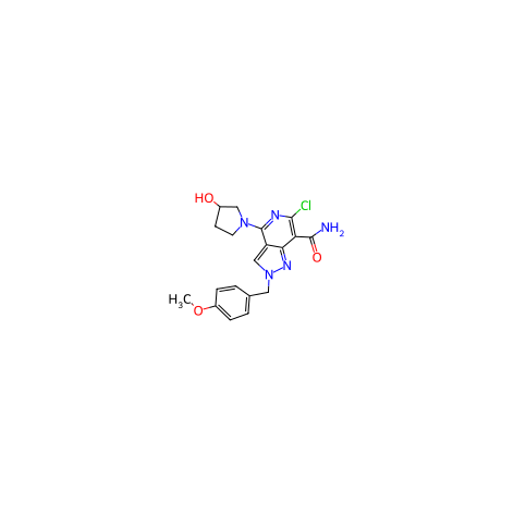 COc1ccc(Cn2cc3c(N4CCC(O)C4)nc(Cl)c(C(N)=O)c3n2)cc1